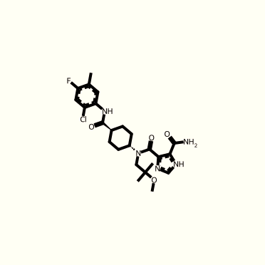 COC(C)(C)CN(C(=O)c1nc[nH]c1C(N)=O)[C@H]1CC[C@H](C(=O)Nc2cc(C)c(F)cc2Cl)CC1